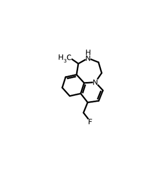 CC1NCCN2C=CC(CF)C3=C2C1=CCC3